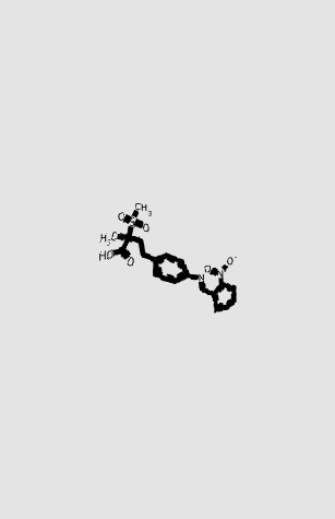 CC(CCc1ccc(N=Cc2ccccc2[N+](=O)[O-])cc1)(C(=O)O)S(C)(=O)=O